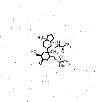 CC(C)(C)[Si](C)(C)OC[C@H]1CC(=O)C(=CO)C[C@]1(C)[C@H]1CC[C@]2(C)CCC[C@H]2[C@@H]1CNC(=O)C(F)(F)F